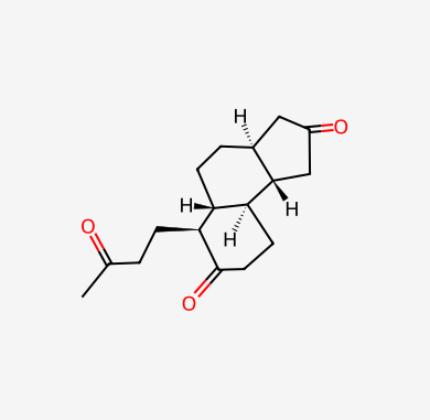 CC(=O)CC[C@@H]1C(=O)CC[C@H]2[C@H]1CC[C@H]1CC(=O)C[C@@H]12